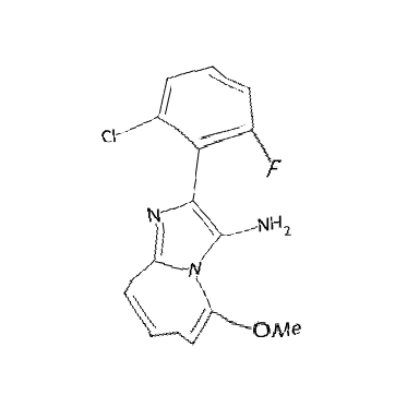 COc1cccc2nc(-c3c(F)cccc3Cl)c(N)n12